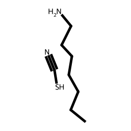 CCCCCCCN.N#CS